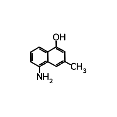 Cc1cc(O)c2cccc(N)c2c1